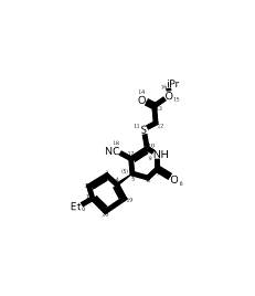 CCc1ccc([C@@H]2CC(=O)NC(SCC(=O)OC(C)C)=C2C#N)cc1